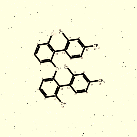 Oc1cccc(Oc2cccc(O)c2-c2ccc(C(F)(F)F)cc2Cl)c1-c1ccc(C(F)(F)F)cc1Cl